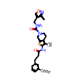 COc1cccc(CCC(=O)Nc2sc3c(c2C#N)CCN(C(=O)NCc2conc2C)C3)c1